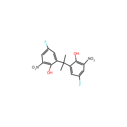 CC(C)(c1cc(F)cc([N+](=O)[O-])c1O)c1cc(F)cc([N+](=O)[O-])c1O